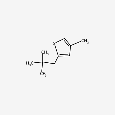 Cc1csc(CC(C)(C)C(F)(F)F)c1